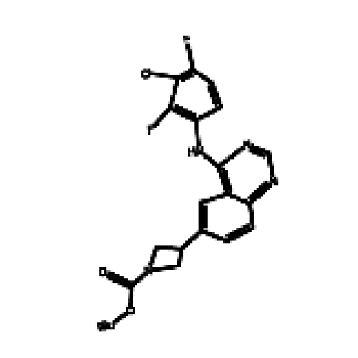 CC(C)(C)OC(=O)N1CC(c2ccc3ncnc(Nc4ccc(F)c(Cl)c4F)c3c2)C1